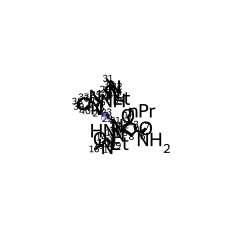 [CH2]CCOc1cc(C(N)=O)cc2nc(Nc3oc(C)nc3CC)n(C/C=C/Cn3c(Nc4cc(C)nn4CC)nc4ccccc43)c12